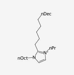 CCCCCCCCCCCCCCCc1n(CCCCCCCC)cc[n+]1CCC